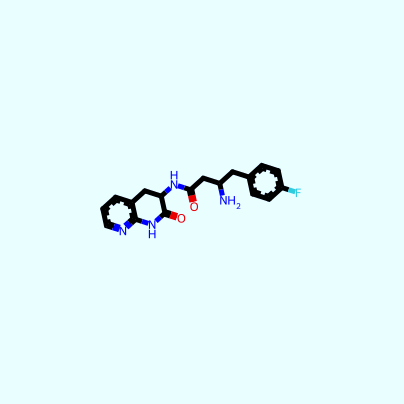 NC(CC(=O)NC1Cc2cccnc2NC1=O)Cc1ccc(F)cc1